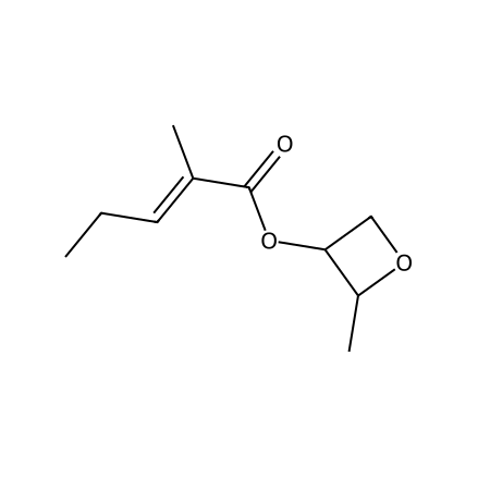 CCC=C(C)C(=O)OC1COC1C